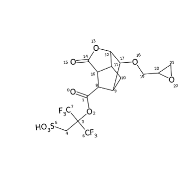 O=C(OC(CS(=O)(=O)O)(C(F)(F)F)C(F)(F)F)C1C2CC3C(OC(=O)C31)C2OCC1CO1